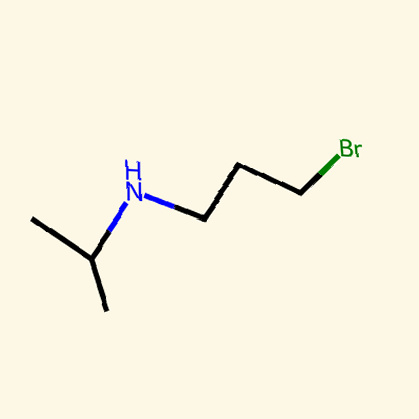 CC(C)NCCCBr